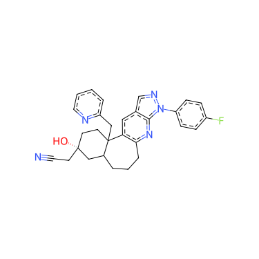 N#CC[C@@]1(O)CCC2(Cc3ccccn3)c3cc4cnn(-c5ccc(F)cc5)c4nc3CCCC2C1